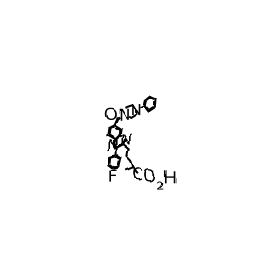 CC(CCCc1nc2cc(C(=O)N3CCN(c4ccccc4)CC3)ccc2nc1-c1ccc(F)cc1)C(=O)O